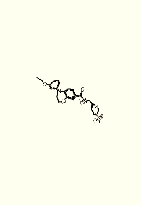 CCOc1cccc(N2CCOc3cc(C(=O)NCc4ccc(S(C)(=O)=O)cn4)ccc32)c1